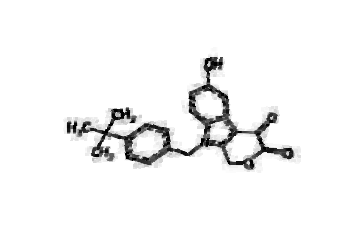 CC(C)(C)c1ccc(Cn2c3c(c4cc(O)ccc42)C(=O)C(=O)OC3)cc1